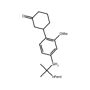 CCCCCC(C)(C)[SiH2]c1ccc(C2CCCC(=O)C2)c(OC)c1